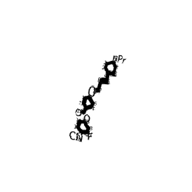 CCCC1CCC(C=CCOc2ccc(C(=O)Oc3ccc(C#N)c(F)c3)cc2)CC1